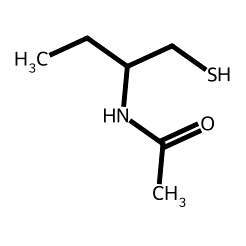 CCC(CS)NC(C)=O